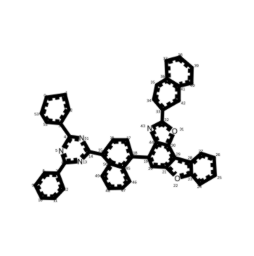 c1ccc(-c2nc(-c3ccccc3)nc(-c3ccc(-c4cc5oc6ccccc6c5c5oc(-c6ccc7ccccc7c6)nc45)c4ccccc34)n2)cc1